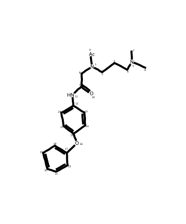 CC(=O)N(CCCN(C)C)CC(=O)Nc1ccc(Oc2ccccc2)cc1